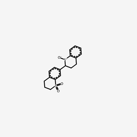 O=S1(=O)CCCc2ccc(C3CCc4ccccc4[S+]3[O-])cc21